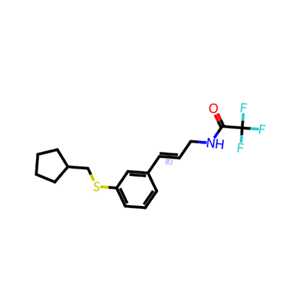 O=C(NC/C=C/c1cccc(SCC2CCCC2)c1)C(F)(F)F